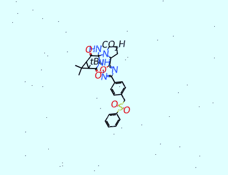 CC(C)(C)C12C(=O)NC(NC(=O)O)(N3CCCC3c3nc(-c4ccc(CS(=O)(=O)c5ccccc5)cc4)no3)C(=O)C1C2(C)C